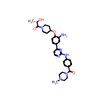 C[C@H](O)C(=O)N1CCC(Oc2ccc(-c3ccnc(Nc4ccc(C(=O)N5CCN(C)CC5)cc4)n3)cc2N)CC1